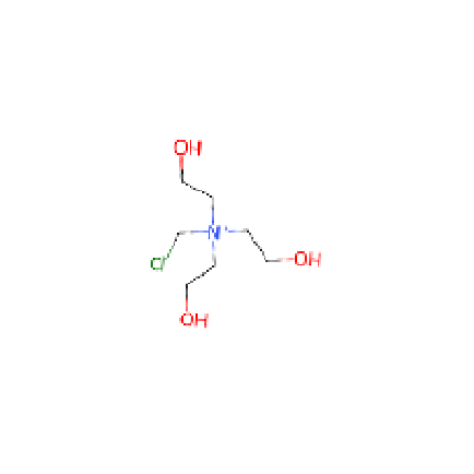 OCC[N+](CCl)(CCO)CCO